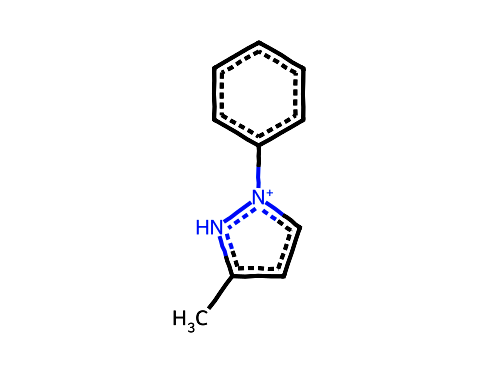 Cc1cc[n+](-c2ccccc2)[nH]1